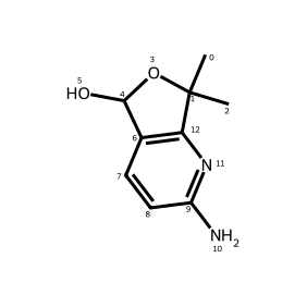 CC1(C)OC(O)c2ccc(N)nc21